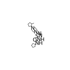 CC1CCCC1N1CCN(c2nnc(NC(=O)NC3CCCC3)s2)CC1